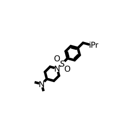 CC(C)Cc1ccc(S(=O)(=O)N2CCC(N(C)C)CC2)cc1